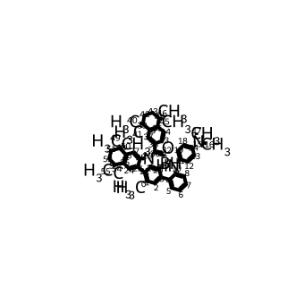 Cc1cc(-c2ccccc2Nc2ccc(N(C)C)cc2)c2c3c1c1cc4c(cc1n3-c1c(oc3cc5c(cc13)C(C)(C)CCC5(C)C)B2)C(C)(C)CCC4(C)C